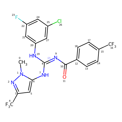 Cn1nc(C(F)(F)F)cc1N/C(=N\C(=O)c1ccc(C(F)(F)F)cc1)Nc1cc(F)cc(Cl)c1